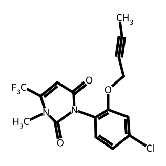 CC#CCOc1cc(Cl)ccc1-n1c(=O)cc(C(F)(F)F)n(C)c1=O